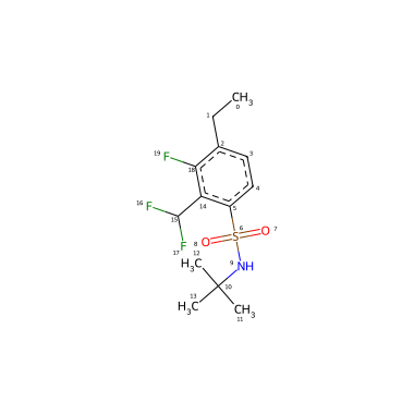 CCc1ccc(S(=O)(=O)NC(C)(C)C)c(C(F)F)c1F